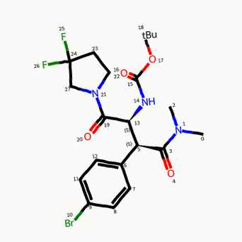 CN(C)C(=O)[C@@H](c1ccc(Br)cc1)[C@H](NC(=O)OC(C)(C)C)C(=O)N1CCC(F)(F)C1